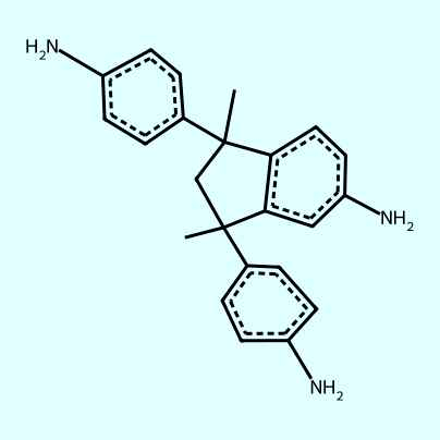 CC1(c2ccc(N)cc2)CC(C)(c2ccc(N)cc2)c2cc(N)ccc21